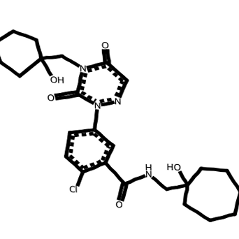 O=C(NCC1(O)CCCCCC1)c1cc(-n2ncc(=O)n(CC3(O)CCOCC3)c2=O)ccc1Cl